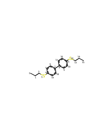 CCCSc1ccc(-c2ccc(SCCC)cc2)cc1